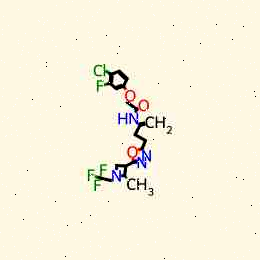 C=C(CCc1nnc(C2CN(CC(F)(F)F)[C@@H]2C)o1)NC(=O)COc1ccc(Cl)c(F)c1